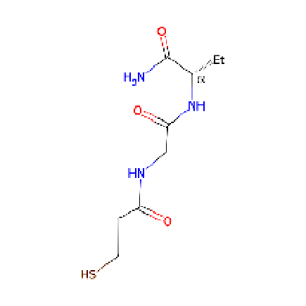 CC[C@H](NC(=O)CNC(=O)CCS)C(N)=O